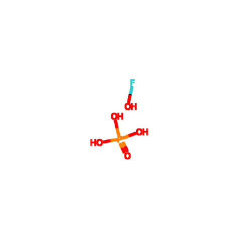 O=P(O)(O)O.OF